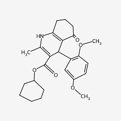 COc1ccc(OC)c(C2C(C(=O)OC3CCCCC3)=C(C)NC3=C2C(=O)CCC3)c1